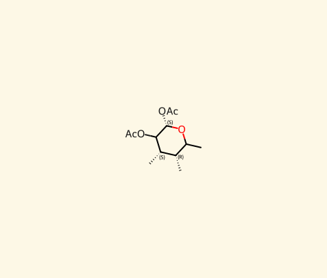 CC(=O)OC1[C@H](OC(C)=O)OC(C)[C@H](C)[C@@H]1C